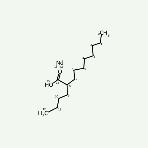 CCCCCCCCC(CCCC)C(=O)O.[Nd]